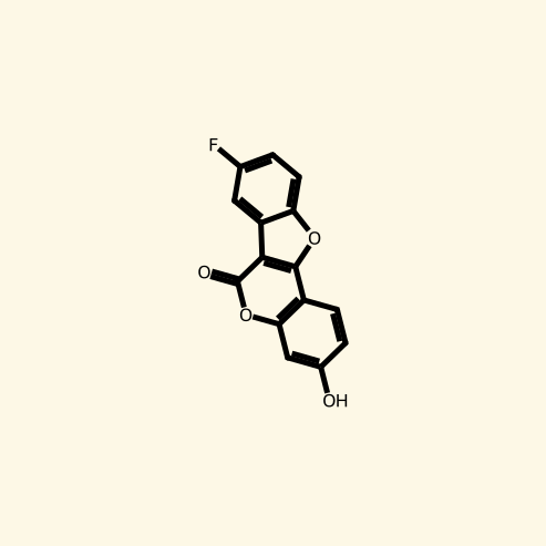 O=c1oc2cc(O)ccc2c2oc3ccc(F)cc3c12